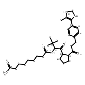 CC1=C(c2ccc(CCC(=O)C3CCCC3C(=O)C(NC(=O)CCCCCCCC(=O)O)C(C)(C)C)cc2)SCN1